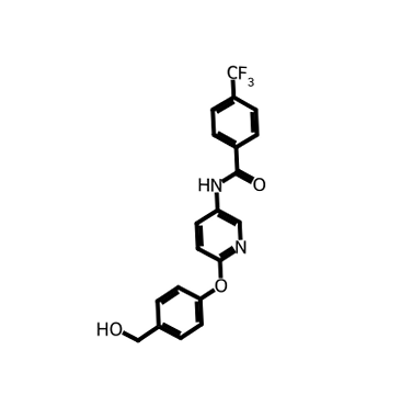 O=C(Nc1ccc(Oc2ccc(CO)cc2)nc1)c1ccc(C(F)(F)F)cc1